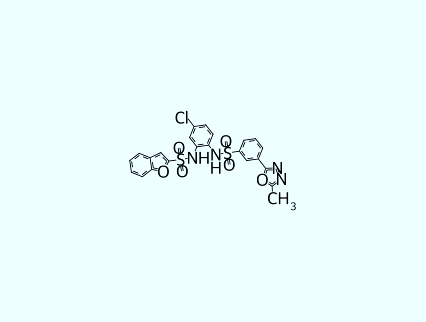 Cc1nnc(-c2cccc(S(=O)(=O)Nc3ccc(Cl)cc3NS(=O)(=O)c3cc4ccccc4o3)c2)o1